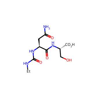 CCNC(=O)N[C@@H](CC(N)=O)C(=O)N[C@@H](CO)C(=O)O